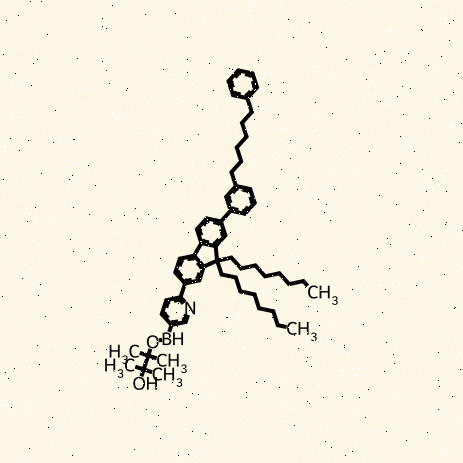 CCCCCCCCC1(CCCCCCCC)c2cc(-c3cccc(CCCCCCc4ccccc4)c3)ccc2-c2ccc(-c3ccc(BOC(C)(C)C(C)(C)O)cn3)cc21